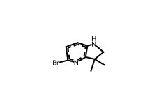 CC1(C)CNc2ccc(Br)nc21